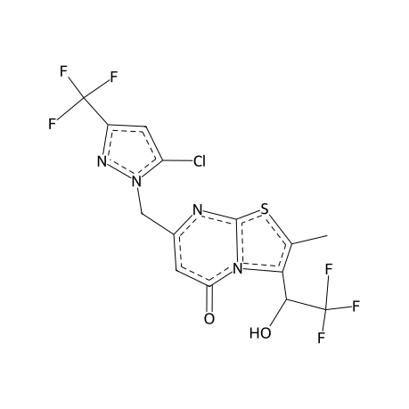 Cc1sc2nc(Cn3nc(C(F)(F)F)cc3Cl)cc(=O)n2c1C(O)C(F)(F)F